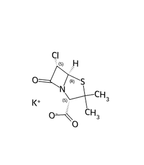 CC1(C)S[C@@H]2[C@@H](Cl)C(=O)N2[C@H]1C(=O)[O-].[K+]